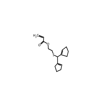 C=CC(=O)OCCSC(C1=CCCC1)C1=CCCC1